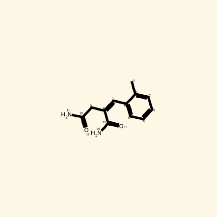 Cc1ccccc1C=C(CC(N)=O)C(N)=O